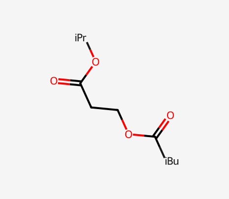 CCC(C)C(=O)OCCC(=O)OC(C)C